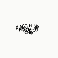 CC(C)(Cc1cccc2c1-c1ccccc1C2COC(=O)ON1C(=O)CCC1=O)OC(=O)NC(C)(C)C(N)C(=O)O